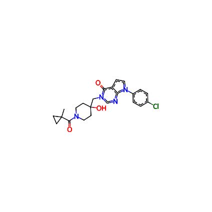 CC1(C(=O)N2CCC(O)(Cn3cnc4c(ccn4-c4ccc(Cl)cc4)c3=O)CC2)CC1